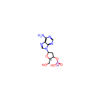 Nc1ncnc2c1ncn2C1CC(O[PH](=O)O)[C@@H](CO)O1